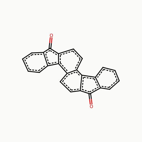 O=c1c2ccccc2c2c1ccc1c2ccc2c(=O)c3ccccc3c21